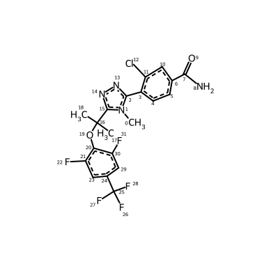 Cn1c(-c2ccc(C(N)=O)cc2Cl)nnc1C(C)(C)Oc1c(F)cc(C(F)(F)F)cc1F